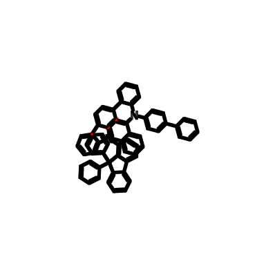 c1ccc(-c2ccc(N(c3ccccc3-c3ccc4c5ccccc5n(-c5cccc6c5C(c5ccccc5)(c5ccccc5)c5ccccc5-6)c4c3)c3cccc4ccccc34)cc2)cc1